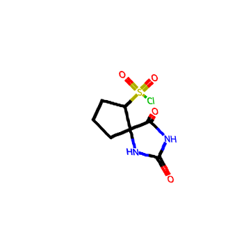 O=C1NC(=O)C2(CCCC2S(=O)(=O)Cl)N1